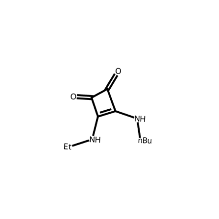 CCCCNc1c(NCC)c(=O)c1=O